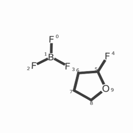 FB(F)F.FC1CCCO1